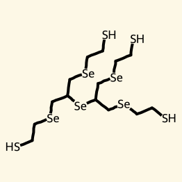 SCC[Se]CC(C[Se]CCS)[Se]C(C[Se]CCS)C[Se]CCS